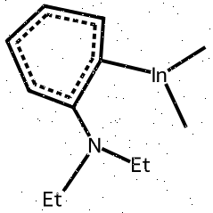 CCN(CC)c1cccc[c]1[In]([CH3])[CH3]